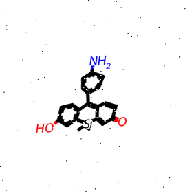 C[Si]1(C)C2=CC(=O)C=CC2=C(c2ccc(N)cc2)c2ccc(O)cc21